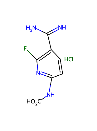 Cl.N=C(N)c1ccc(NC(=O)O)nc1F